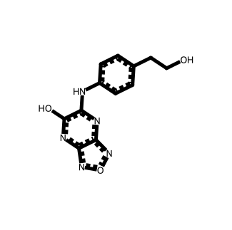 OCCc1ccc(Nc2nc3nonc3nc2O)cc1